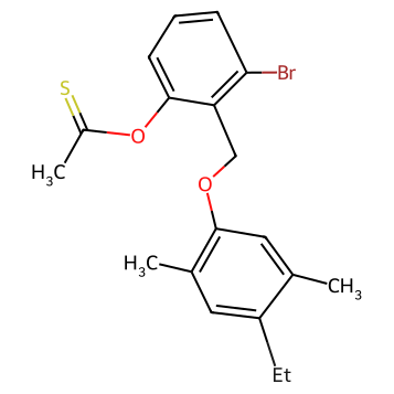 CCc1cc(C)c(OCc2c(Br)cccc2OC(C)=S)cc1C